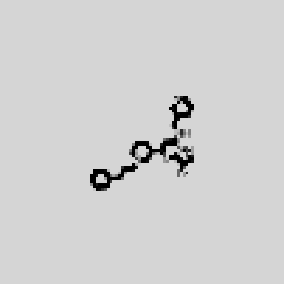 Brc1cnn2c(NCc3cccnc3)cc(C3CCCN(CCCc4ccccc4)C3)nc12